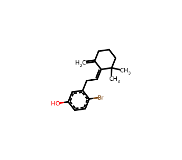 C=C1CCCC(C)(C)/C1=C/Cc1cc(O)ccc1Br